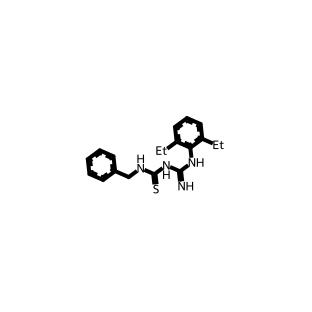 CCc1cccc(CC)c1NC(=N)NC(=S)NCc1ccccc1